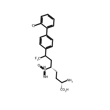 N=[SH](=O)[C@@H](CC[C@H](N)C(=O)O)CC(c1ccc(-c2ccccc2Cl)cc1)C(F)(F)F